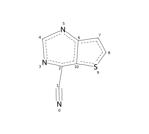 N#Cc1ncnc2ccsc12